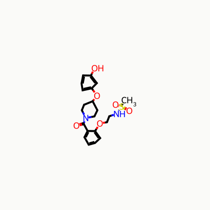 CS(=O)(=O)NCCOc1ccccc1C(=O)N1CCC(Oc2cccc(O)c2)CC1